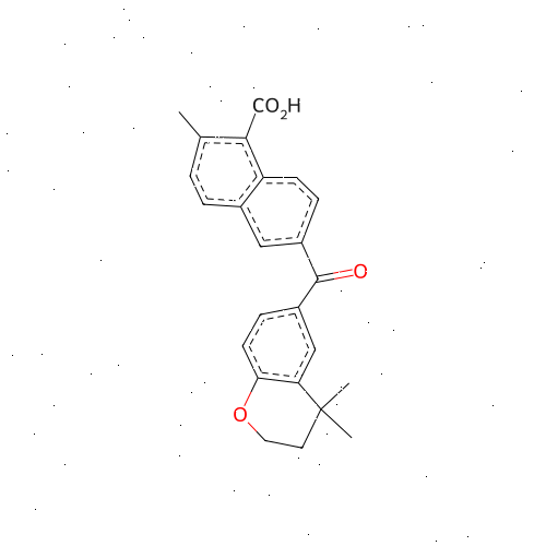 Cc1ccc2cc(C(=O)c3ccc4c(c3)C(C)(C)CCO4)ccc2c1C(=O)O